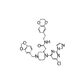 O=C(CC1CN(Cc2ccc3c(c2)OCO3)CCN1c1cc(Cl)nc(-n2ccnc2)n1)NCCc1ccc2c(c1)OCCO2